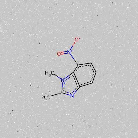 Cc1nc2cccc([N+](=O)[O-])c2n1C